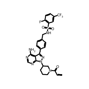 C=CC(=O)N1CCCC(n2nc(-c3ccc(CNS(=O)(=O)c4cc(C(F)(F)F)ccc4F)cc3)c3c(N)ncnc32)C1